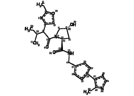 Cc1nc(C(C(=O)N2C[C@H](O)C[C@H]2C(=O)NCc2ccc(-c3scnc3C)cc2)C(C)C)co1